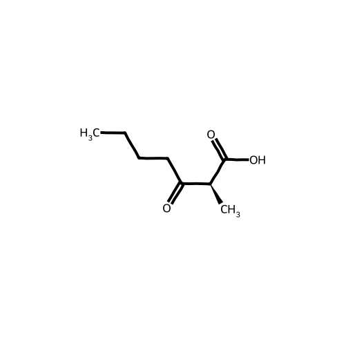 CCCCC(=O)[C@H](C)C(=O)O